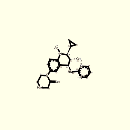 CC(=O)N1c2ccc(N3CCNCC3=O)cc2[C@H](Nc2ncccn2)[C@@H](C)[C@@H]1C1CC1